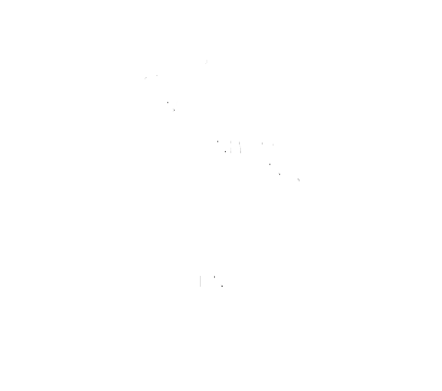 CC(NCc1ccc(NC2CCCN(C(=O)O)C2)c([N+](=O)[O-])c1)C(C)(C)C